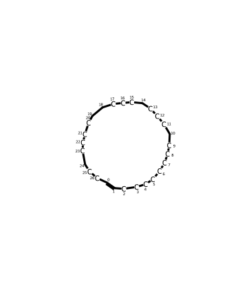 C1=C/CCCCCCCCCCCCCCCCCCCCCCCCC/1